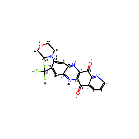 O=C1c2cccnc2C(=O)c2nc3cc(N4CCOCC4)c(C(F)(F)F)cc3nc21